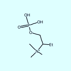 CCC(COP(=O)(O)O)[N+](C)(C)C